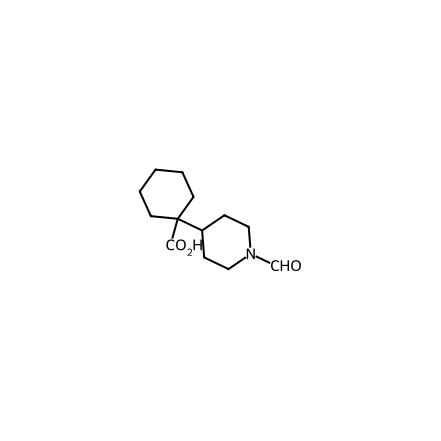 O=CN1CCC(C2(C(=O)O)CCCCC2)CC1